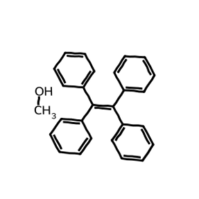 CO.c1ccc(C(=C(c2ccccc2)c2ccccc2)c2ccccc2)cc1